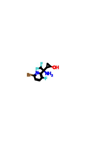 N[C@@](c1nc(Br)ccc1F)(C(F)F)[C@H]1C[C@H]1O